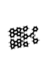 c1ccc(-c2cc(-c3cc4c5c(c3)N(c3ccccc3)c3c(cc6c7cccc8cccc(c9cccc3c96)c87)B5c3cc5c6cccc7cccc(c8cccc(c3N4c3ccccc3)c85)c76)cc(-c3ccccc3)n2)cc1